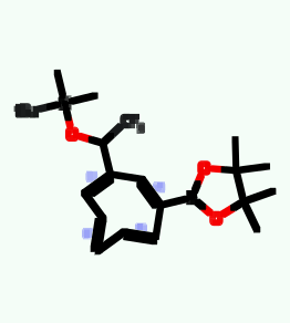 CC1(C)OB(C2=C/C(C(O[Si](C)(C)C(C)(C)C)C(F)(F)F)=C\C=C\C=C\2)OC1(C)C